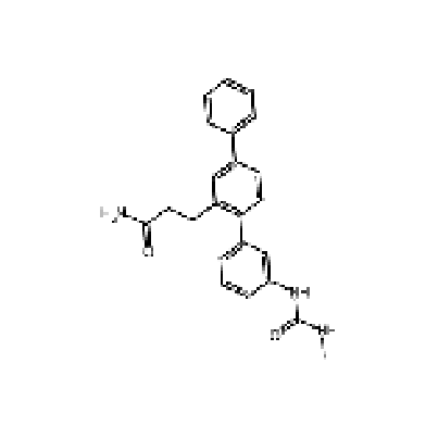 CNC(=O)Nc1cccc(-c2ccc(-c3ccccc3)cc2CCC(N)=O)c1